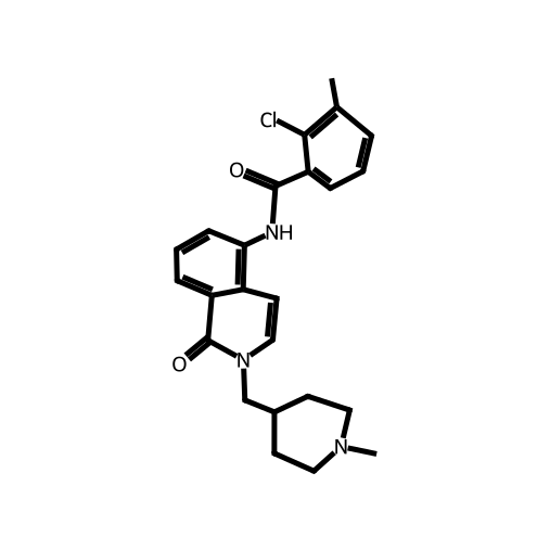 Cc1cccc(C(=O)Nc2cccc3c(=O)n(CC4CCN(C)CC4)ccc23)c1Cl